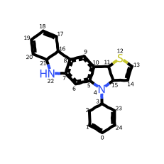 C1=CCC(N2c3cc4c(cc3C3SC=CC32)C2C=CC=CC2N4)C=C1